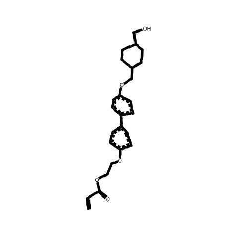 C=CC(=O)OCCOc1ccc(-c2ccc(OCC3CCC(CO)CC3)cc2)cc1